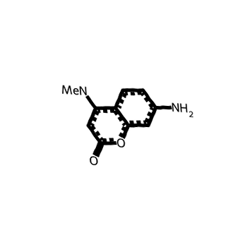 CNc1cc(=O)oc2cc(N)ccc12